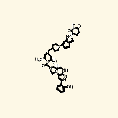 C[C@@H]1CN(CC2CCN(c3ccc4cn(C5CCC(=O)NC5=O)nc4c3)CC2)C[C@H](C)N1C(=O)N1CCN2c3cc(-c4ccccc4O)nnc3NC[C@H]2C1